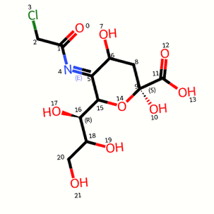 O=C(CCl)/N=C1\C(O)C[C@@](O)(C(=O)O)OC1[C@H](O)C(O)CO